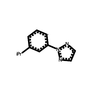 CC(C)c1cc[c]c(-n2nccn2)c1